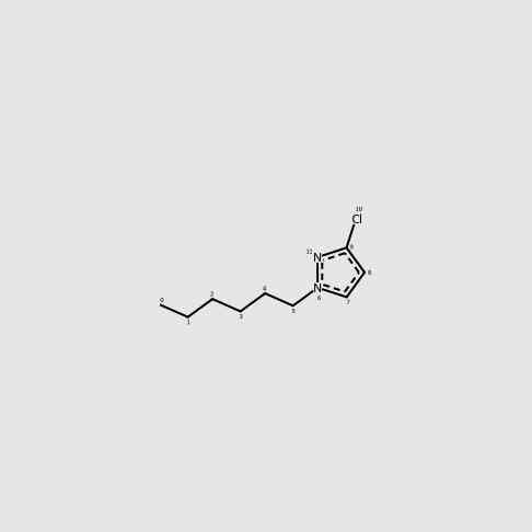 CCCCCCn1ccc(Cl)n1